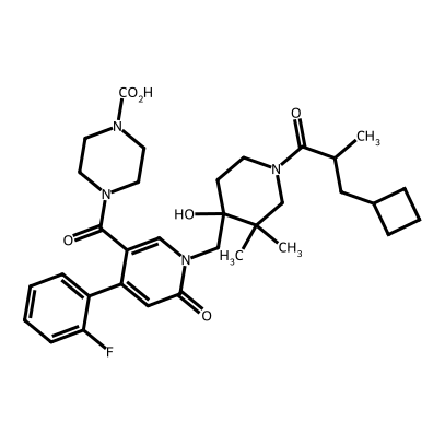 CC(CC1CCC1)C(=O)N1CCC(O)(Cn2cc(C(=O)N3CCN(C(=O)O)CC3)c(-c3ccccc3F)cc2=O)C(C)(C)C1